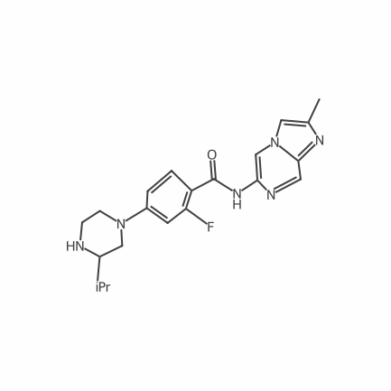 Cc1cn2cc(NC(=O)c3ccc(N4CCNC(C(C)C)C4)cc3F)ncc2n1